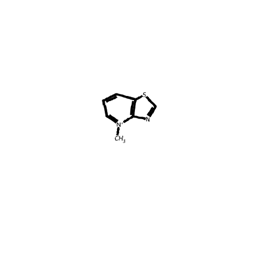 C[n+]1cccc2scnc21